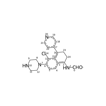 O=[C]NC1=c2ccc(N3CCNCC3)c(Cl)c2=C(c2ccncc2)CC1